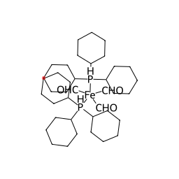 O=[CH][Fe]([CH]=O)([CH]=O)([PH](C1CCCCC1)(C1CCCCC1)C1CCCCC1)[PH](C1CCCCC1)(C1CCCCC1)C1CCCCC1